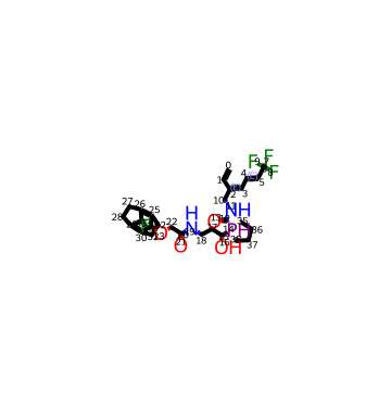 C=C/C(=C\C=C\C(F)(F)F)CNC(=O)[PH]1(C(O)CCNC(=O)COC2C3=C4CCC(=C2CC3)C4F)CCCC1